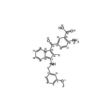 COc1cccc(CNc2c(C)c(C(=O)c3ccc(N)c(C(=O)O)c3)n3ccccc23)c1